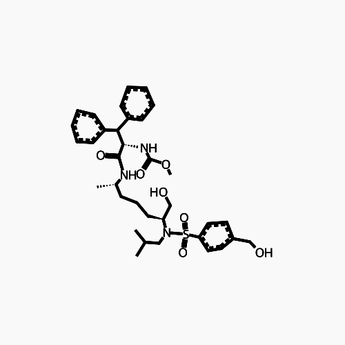 COC(=O)N[C@H](C(=O)N[C@@H](C)CCC[C@@H](CO)N(CC(C)C)S(=O)(=O)c1ccc(CO)cc1)C(c1ccccc1)c1ccccc1